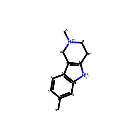 Cc1ccc2c3c([nH]c2c1)CCN(C)C3